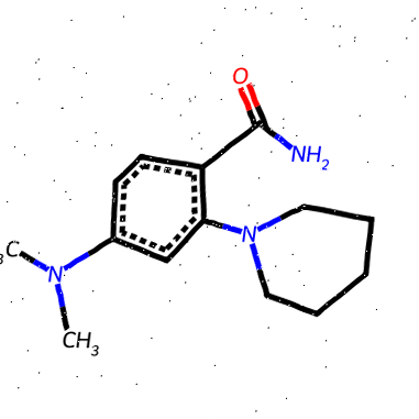 CN(C)c1ccc(C(N)=O)c(N2CCCCC2)c1